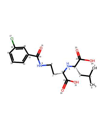 CC(C)C[C@H](N[C@@H](CCNC(=O)c1cccc(Cl)c1)C(=O)O)C(=O)O